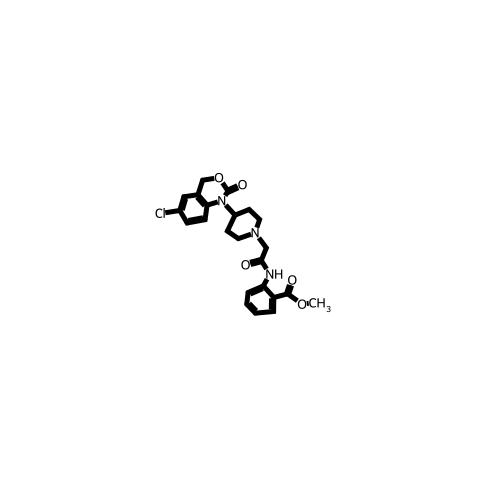 COC(=O)c1ccccc1NC(=O)CN1CCC(N2C(=O)OCc3cc(Cl)ccc32)CC1